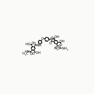 CNC(=O)c1cc(C(=O)O)c(C(=O)Nc2ccc(Oc3ccc(NC(=O)c4cc(C(=O)O[SiH2][SiH3])c(C(=O)O)cc4C(=O)O)cc3)cc2)cc1C(=O)O